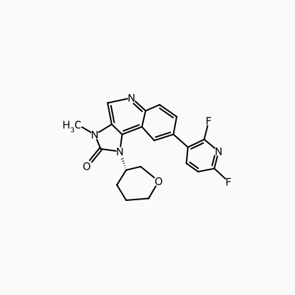 Cn1c(=O)n([C@H]2CCCOC2)c2c3cc(-c4ccc(F)nc4F)ccc3ncc21